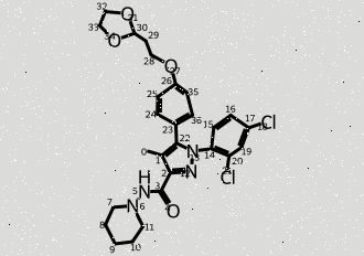 Cc1c(C(=O)NN2CCCCC2)nn(-c2ccc(Cl)cc2Cl)c1-c1ccc(OCCC2OCCO2)cc1